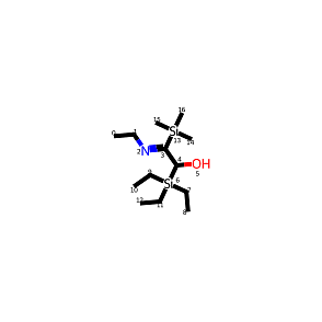 CCN=C(C(O)[Si](CC)(CC)CC)[Si](C)(C)C